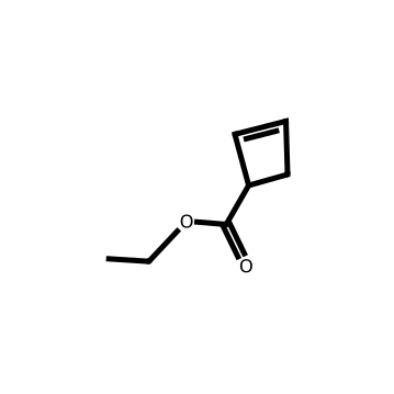 CCOC(=O)C1C=CC1